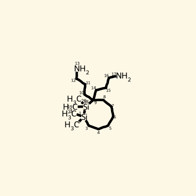 C[Si]1(C)CCCCCCC(CCCN)(CCCN)[Si]1(C)C